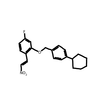 O=[N+]([O-])C=Cc1ccc(F)cc1OCc1ccc(C2CCCCC2)cc1